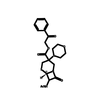 CC(=O)NC1C(=O)N2CC(C(=O)OCC(=O)c3ccccc3)(N3CCOCC3)CS[C@H]12